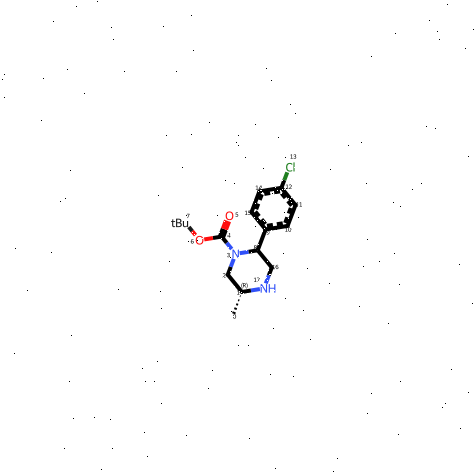 C[C@@H]1CN(C(=O)OC(C)(C)C)C(c2ccc(Cl)cc2)CN1